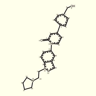 O=c1cc(-c2ccc(CO)cc2)ccn1-c1ccc2c(cnn2CCN2CCCC2)c1